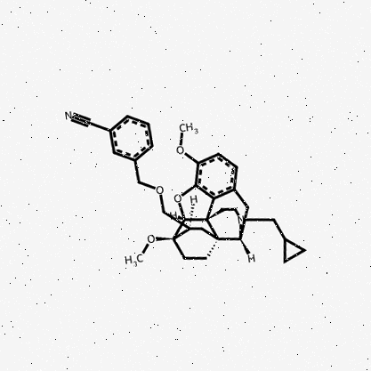 COc1ccc2c3c1O[C@H]1[C@@]4(OC)CC[C@@]5(C[C@@H]4COCc4cccc(C#N)c4)[C@@H](C2)N(CC2CC2)CC[C@]315